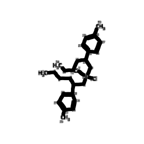 CCCCC(C[Si](Cl)(Cl)CC(CCCC)c1ccc(C)cc1)c1ccc(C)cc1